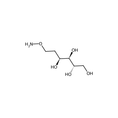 NOCC[C@H](O)[C@@H](O)[C@@H](O)CO